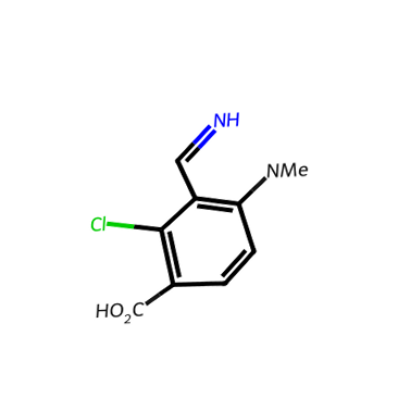 CNc1ccc(C(=O)O)c(Cl)c1C=N